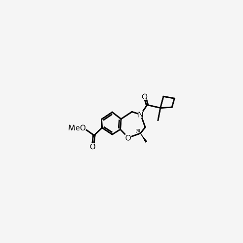 COC(=O)c1ccc2c(c1)O[C@H](C)CN(C(=O)C1(C)CCC1)C2